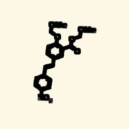 COCOC(=O)c1cc(C=Cc2ccc([N+](=O)[O-])cc2)ccc1OCOC